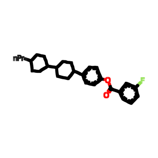 CCCC1CCC(C2CCC(c3ccc(OC(=O)c4cccc(F)c4)cc3)CC2)CC1